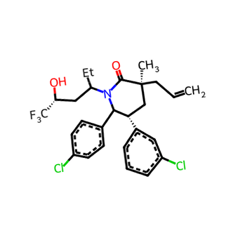 C=CC[C@@]1(C)C[C@H](c2cccc(Cl)c2)C(c2ccc(Cl)cc2)N(C(CC)C[C@@H](O)C(F)(F)F)C1=O